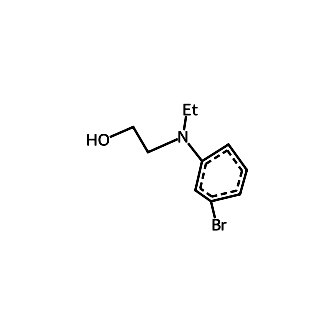 CCN(CCO)c1cccc(Br)c1